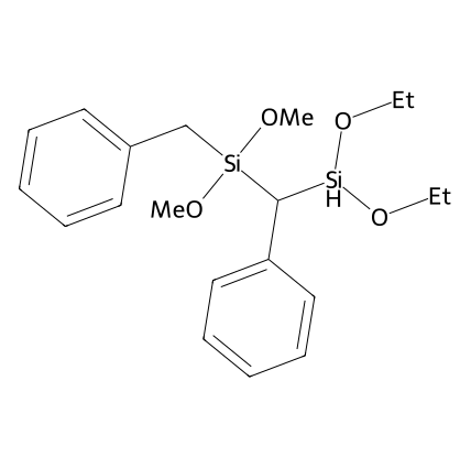 CCO[SiH](OCC)C(c1ccccc1)[Si](Cc1ccccc1)(OC)OC